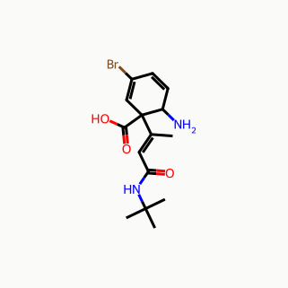 C/C(=C\C(=O)NC(C)(C)C)C1(C(=O)O)C=C(Br)C=CC1N